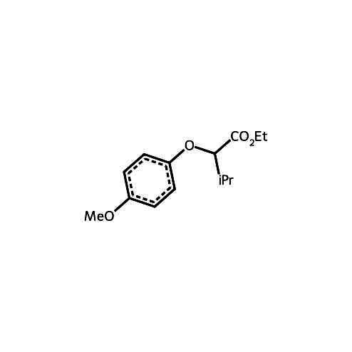 CCOC(=O)C(Oc1ccc(OC)cc1)C(C)C